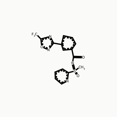 CS(=O)(=NC(=O)c1cccc(-c2noc(C(F)(F)F)n2)c1)c1ccccn1